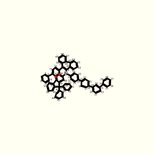 c1ccc(-c2ccc(-c3c(N(c4ccc(-c5ccc(-c6cccc(-c7ccccc7)c6)cc5)cc4)c4ccc5c(c4)C(c4ccccc4)(c4ccccc4)c4ccccc4-5)c4ccccc4c4ccccc34)cc2)cc1